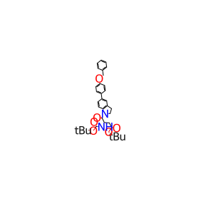 CC(C)(C)OC(=O)CC(NC(=O)OC(C)(C)C)C(=O)N1CCc2cc(-c3ccc(OCc4ccccc4)cc3)ccc21